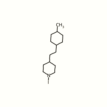 CC1CCC(CCC2CCN(I)CC2)CC1